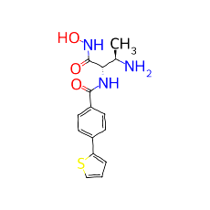 C[C@@H](N)[C@H](NC(=O)c1ccc(-c2cccs2)cc1)C(=O)NO